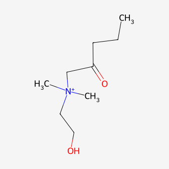 CCCC(=O)C[N+](C)(C)CCO